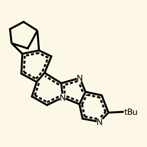 CC(C)(C)c1cc2nc3c4cc5c(cc4ccn3c2cn1)C1CCC5C1